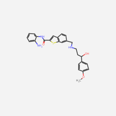 COc1ccc(C(O)CCNCc2ccc3cc(C(=O)Nc4ccccc4N)sc3c2)cc1